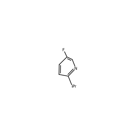 CC(C)c1ccc(F)cn1